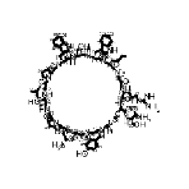 CCCC[C@H]1C(=O)N(C)[C@@H](C)C(=O)N[C@@H](CCCNC(=N)N)C(=O)NC(C(=O)N[C@@H](CO)C(N)=O)CSCC(=O)N[C@@H](Cc2ccc(O)cc2)C(=O)N(C)[C@@H](C)C(=O)N[C@@H](CC(N)=O)C(=O)N2CCC[C@H]2C(=O)N[C@@H](CO)C(=O)N[C@H](CC(C)C)C(=O)N2CCC[C@H]2C(=O)N[C@@H](Cc2c[nH]c3ccccc23)C(=O)N[C@@H](CO)C(=O)N[C@@H](Cc2c[nH]c3ccccc23)C(=O)N1C